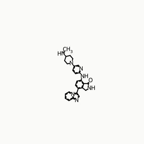 CNC1CCN(c2ccc(Nc3ccc(-c4cnc5ccccn45)c4c3C(=O)NC4)nc2)CC1